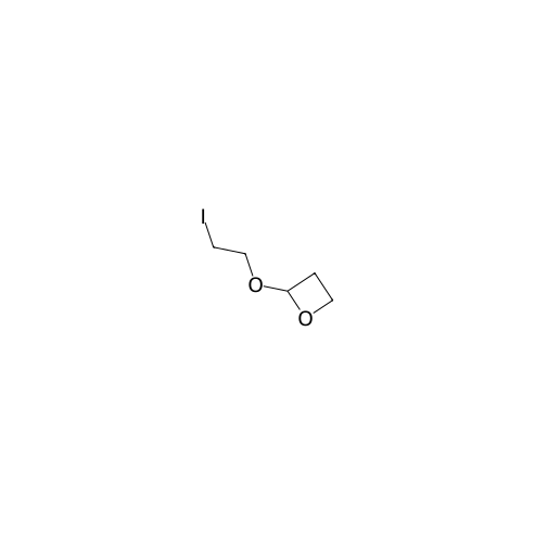 ICCOC1CCO1